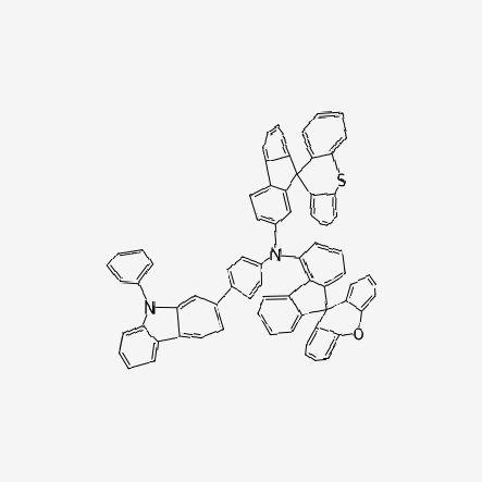 c1ccc(-n2c3ccccc3c3ccc(-c4ccc(N(c5ccc6c(c5)C5(c7ccccc7Sc7ccccc75)c5ccccc5-6)c5cccc6c5-c5ccccc5C65c6ccccc6Oc6ccccc65)cc4)cc32)cc1